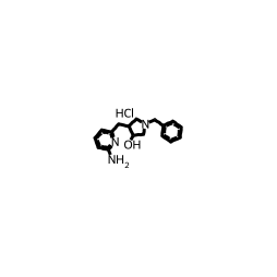 Cl.Nc1cccc(CC2CN(Cc3ccccc3)CC2O)n1